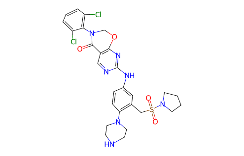 O=C1c2cnc(Nc3ccc(N4CCNCC4)c(CS(=O)(=O)N4CCCC4)c3)nc2OCN1c1c(Cl)cccc1Cl